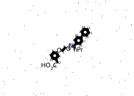 CCC/C(=N\OCCOc1cccc(CC(=O)O)c1)c1ccc(-c2ccccc2)cc1